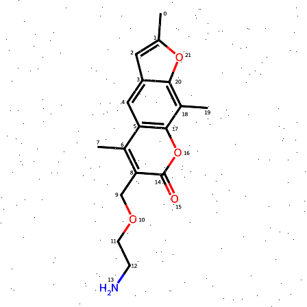 Cc1cc2cc3c(C)c(COCCN)c(=O)oc3c(C)c2o1